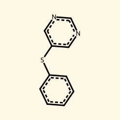 c1ccc(Sc2cncnc2)cc1